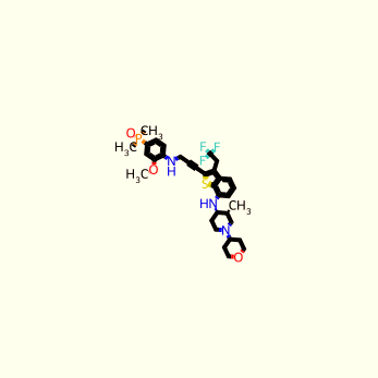 COc1cc(P(C)(C)=O)ccc1NCC#Cc1sc2c(N[C@@H]3CCN(C4CCOCC4)C[C@@H]3C)cccc2c1CC(F)(F)F